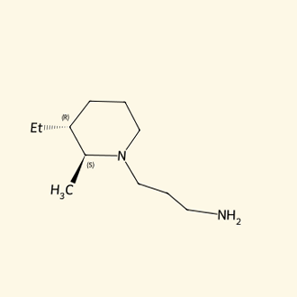 CC[C@@H]1CCCN(CCCN)[C@H]1C